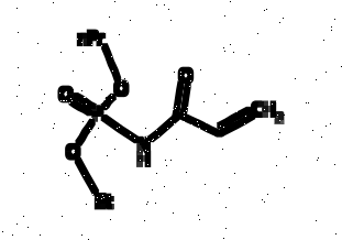 C=CC(=O)NP(=O)(OCC)OCCC